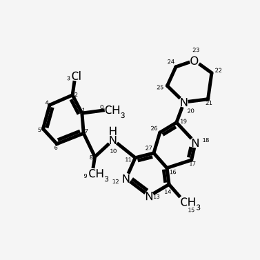 Cc1c(Cl)cccc1C(C)Nc1nnc(C)c2cnc(N3CCOCC3)cc12